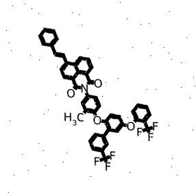 Cc1cc(N2C(=O)c3cccc4c(C=Cc5ccccc5)ccc(c34)C2=O)ccc1Oc1ccc(Oc2ccccc2C(F)(F)F)cc1-c1cccc(C(F)(F)F)c1